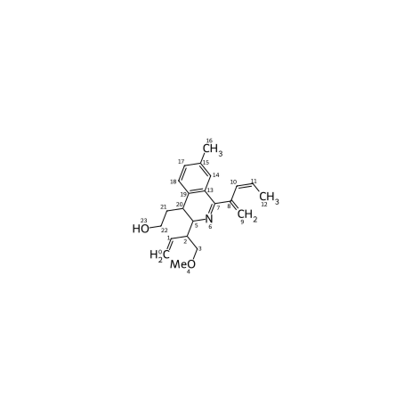 C=CC(COC)C1N=C(C(=C)/C=C\C)c2cc(C)ccc2C1CCO